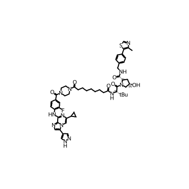 Cc1ncsc1-c1ccc(CNC(=O)[C@@H]2C[C@@H](O)CN2C(=O)[C@@H](NC(=O)CCCCCCCC(=O)N2CCN(C(=O)c3ccc(Nc4nc(C5CC5)cn5c(-c6cn[nH]c6)cnc45)c(F)c3)CC2)C(C)(C)C)cc1